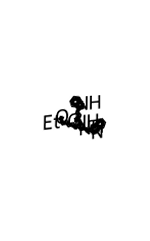 CCC(=O)CCCCCC(CNCc1cnc2ccccc2c1)NC(=O)CCc1c[nH]c2ccccc12